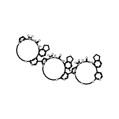 Cc1cc2c(c3c1-c1cc(ncc1-c1cc4nn1CCOCCOc1cc(ccn1)-c1ccc5c(c1NC(=O)NS4(=O)=O)CCC5)OCCCCCn1nc(cc1-c1cnc4cc1-c1ccc5c(c1NC(=O)NS(=O)(=O)c1ccn(n1)CCCCCO4)CCC5)S(=O)(=O)NC(=O)N3)CCC2